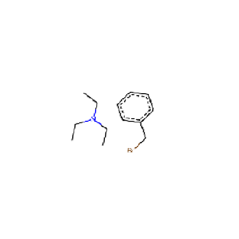 BrCc1ccccc1.CCN(CC)CC